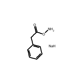 NOC(=O)Cc1ccccc1.[NaH]